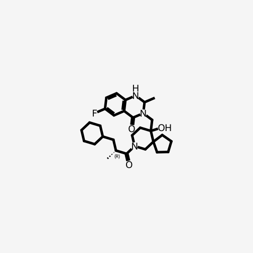 CC1Nc2ccc(F)cc2C(=O)N1CC1(O)CCN(C(=O)[C@H](C)CC2CCCCC2)CC12CCCC2